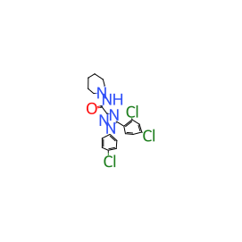 O=C(NN1CCCCCC1)c1nc(-c2ccc(Cl)cc2Cl)n(-c2ccc(Cl)cc2)n1